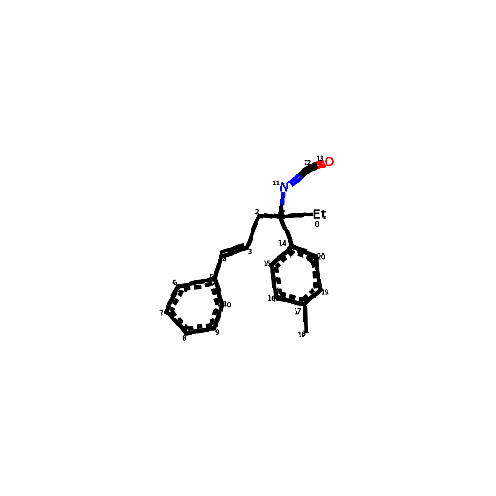 CCC(CC=Cc1ccccc1)(N=C=O)c1ccc(C)cc1